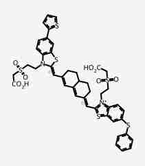 O=C(O)CS(=O)(=O)CCN1/C(=C/C2=CC3=C/C(=C/c4sc5cc(Sc6ccccc6)ccc5[n+]4CCS(=O)(=O)CC(=O)O)CCC3CC2)Sc2cc(-c3cccs3)ccc21